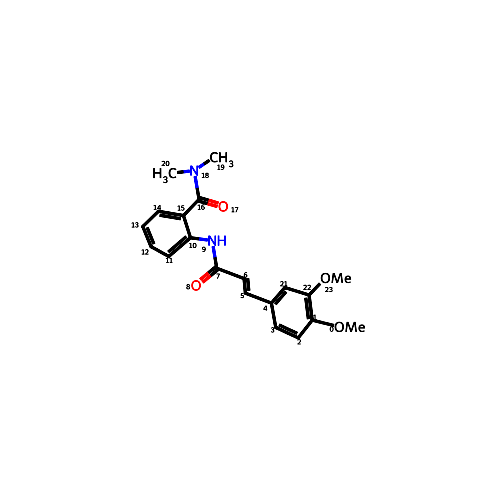 COc1ccc(C=CC(=O)Nc2ccccc2C(=O)N(C)C)cc1OC